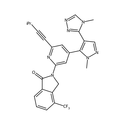 CC(C)C#Cc1cc(-c2c(-c3nncn3C)cnn2C)cc(N2Cc3c(cccc3C(F)(F)F)C2=O)n1